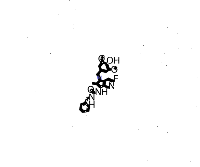 COc1cc(/C=C2/C(C)=C(NC(=O)NCc3ccccc3)c3cnc(F)cc32)cc(OC)c1O